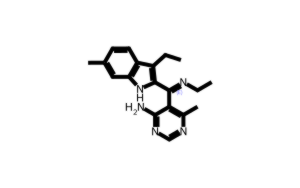 CC/N=C(/c1[nH]c2cc(C)ccc2c1CC)c1c(C)ncnc1N